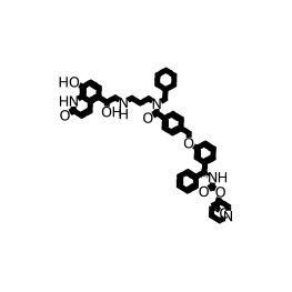 O=C(N[C@@H](c1ccccc1)c1cccc(OCc2ccc(C(=O)N(CCCNCC(O)c3ccc(O)c4[nH]c(=O)ccc34)CC3CCCCC3)cc2)c1)OC1CN2CCC1CC2